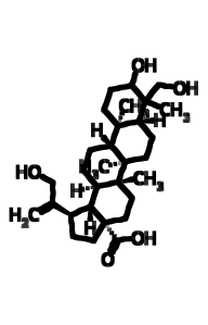 C=C(CO)[C@@H]1CC[C@]2(C(=O)O)CC[C@]3(C)[C@H](CC[C@@H]4[C@@]5(C)CCC(O)C(C)(CO)[C@@H]5CC[C@]43C)[C@@H]12